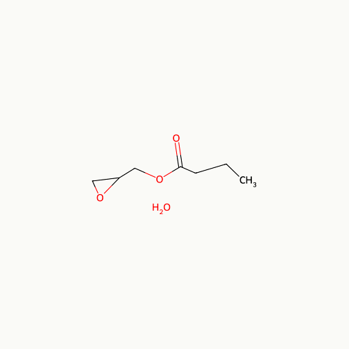 CCCC(=O)OCC1CO1.O